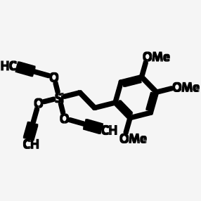 C#CO[Si](CCc1cc(OC)c(OC)cc1OC)(OC#C)OC#C